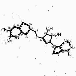 Cc1ncnc2c1ccn2C1C=C(CCc2ccc3cc(Cl)c(N)nc3c2)C(O)[C@@H]1O